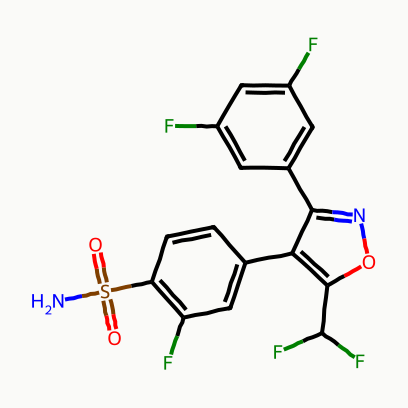 NS(=O)(=O)c1ccc(-c2c(-c3cc(F)cc(F)c3)noc2C(F)F)cc1F